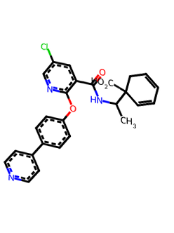 CC(NC(=O)c1cc(Cl)cnc1Oc1ccc(-c2ccncc2)cc1)C1(C(=O)O)C=CC=CC1